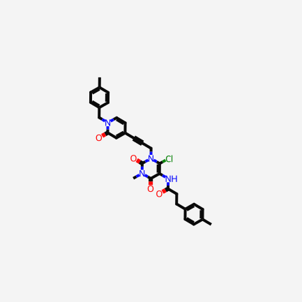 Cc1ccc(CCC(=O)Nc2c(Cl)n(CC#Cc3ccn(Cc4ccc(C)cc4)c(=O)c3)c(=O)n(C)c2=O)cc1